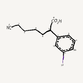 N#CCCCCC(C(=O)O)c1cccc(I)c1